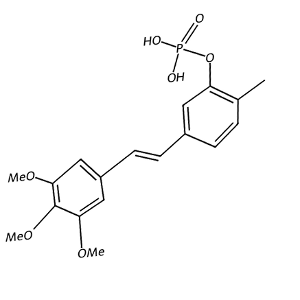 COc1cc(C=Cc2ccc(C)c(OP(=O)(O)O)c2)cc(OC)c1OC